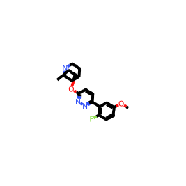 COc1ccc(F)c(-c2ccc(OC3C4CCN(CC4)C3C)nn2)c1